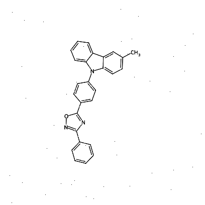 Cc1ccc2c(c1)c1ccccc1n2-c1ccc(-c2nc(-c3ccccc3)no2)cc1